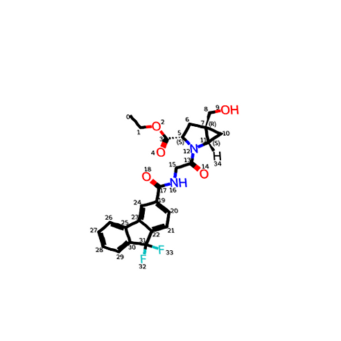 CCOC(=O)[C@@H]1C[C@]2(CO)C[C@@H]2N1C(=O)CNC(=O)c1ccc2c(c1)-c1ccccc1C2(F)F